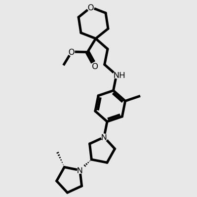 COC(=O)C1(CCNc2ccc(N3CC[C@H](N4CCC[C@@H]4C)C3)cc2C)CCOCC1